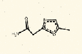 Cc1cnc(CC(N)=O)o1